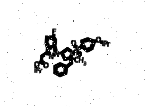 CC(C)OC(=O)Cc1nn([C@H]2CN(S(=O)(=O)c3ccc(OC(C)C)cc3)[C@](C)(Cc3ccccc3)C2)c2cc(F)ccc12